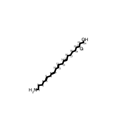 NCCCCC=CCC=CCC=CCC=CCCCCCC(=O)CCO